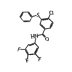 O=C(Nc1cc(F)c(F)c(F)c1)c1ccc(Cl)c(Sc2ccccc2)c1